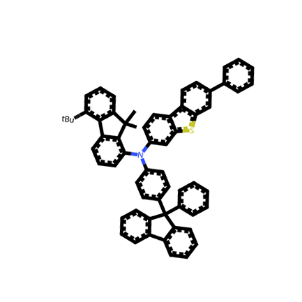 CC(C)(C)c1cccc2c1-c1cccc(N(c3ccc(C4(c5ccccc5)c5ccccc5-c5ccccc54)cc3)c3ccc4c(c3)sc3cc(-c5ccccc5)ccc34)c1C2(C)C